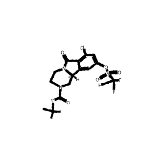 CC(C)(C)OC(=O)N1CCN2C(=O)c3c(Cl)cc(OS(=O)(=O)C(F)(F)F)cc3[C@@H]2C1